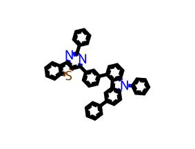 c1ccc(-c2ccc3c(c2)c2c(-c4cccc(-c5nc(-c6ccccc6)nc6c5sc5ccccc56)c4)cccc2n3-c2ccccc2)cc1